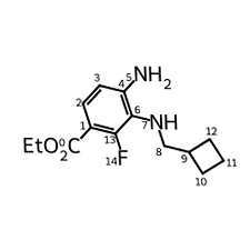 CCOC(=O)c1ccc(N)c(NCC2CCC2)c1F